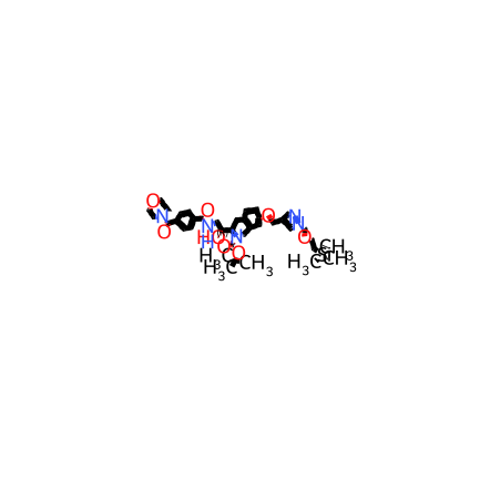 CC(C)(C)OC(=O)N1Cc2cc(OCc3cnn(COCC[Si](C)(C)C)c3)ccc2CC1[C@H](O)CNC(=O)c1ccc(C(=O)N2CCOCC2)cc1